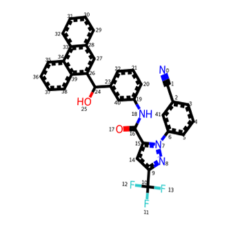 N#Cc1cccc(-n2nc(C(F)(F)F)cc2C(=O)Nc2cccc(C(O)c3cc4ccccc4c4ccccc34)c2)c1